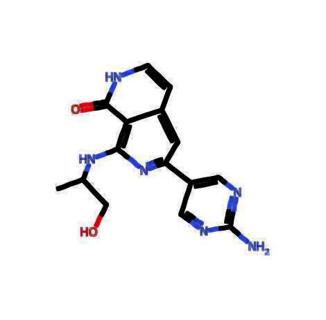 CC(CO)Nc1nc(-c2cnc(N)nc2)cc2cc[nH]c(=O)c12